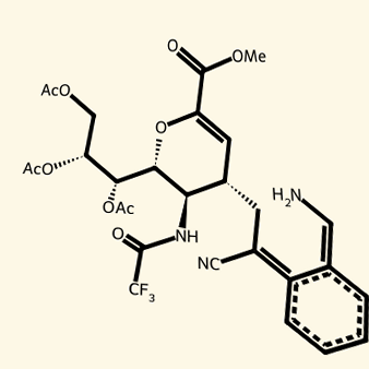 COC(=O)C1=C[C@H](C/C(C#N)=c2/cccc/c2=C/N)[C@@H](NC(=O)C(F)(F)F)[C@H]([C@H](OC(C)=O)[C@@H](COC(C)=O)OC(C)=O)O1